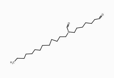 CCCCCCCCCCCCCN(C=O)CCCCCCC=O